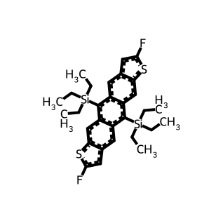 CC[Si](CC)(CC)c1c2cc3cc(F)sc3cc2c([Si](CC)(CC)CC)c2cc3cc(F)sc3cc12